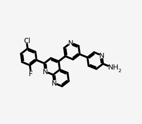 Nc1ccc(-c2cncc(-c3cc(-c4cc(Cl)ccc4F)nc4ncccc34)c2)cn1